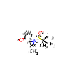 CC(=O)[C@H]1[C@@H](C)N1[S@+]([O-])C(C)(C)C